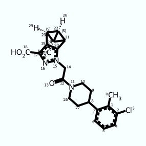 Cc1c(Cl)cccc1C1CCN(C(=O)Cn2nc(C(=O)O)c3c2C2[C@@H]4[C@H]3[C@]24C)CC1